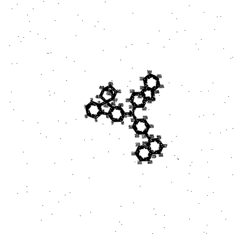 c1ccc2c(c1)-c1ccc(N(c3ccc(-c4cccc5ccccc45)cc3)c3ccc4c(c3)sc3ccccc34)cc1C21CC2CCC1C2